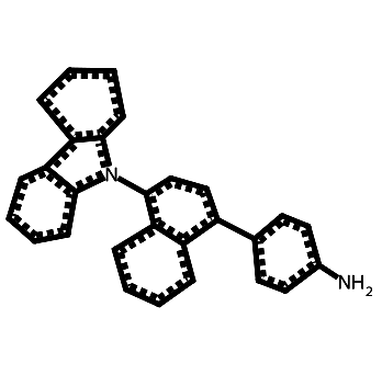 Nc1ccc(-c2ccc(-n3c4ccccc4c4ccccc43)c3ccccc23)cc1